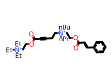 CCCC[N+](CCC)(CCC#CC(=O)OCC[N+](CC)(CC)CC)CCOC(=O)/C=C/c1ccccc1